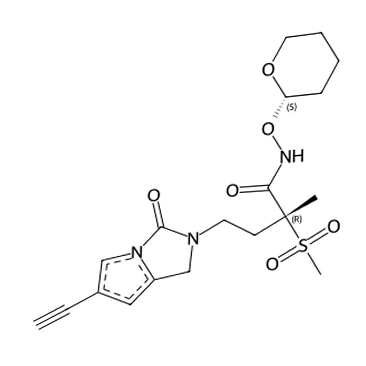 C#Cc1cc2n(c1)C(=O)N(CC[C@](C)(C(=O)NO[C@H]1CCCCO1)S(C)(=O)=O)C2